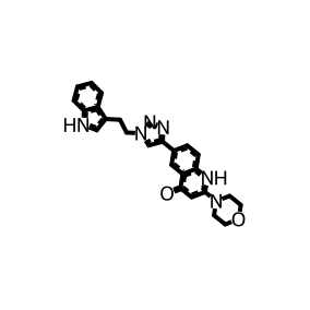 O=c1cc(N2CCOCC2)[nH]c2ccc(-c3cn(CCc4c[nH]c5ccccc45)nn3)cc12